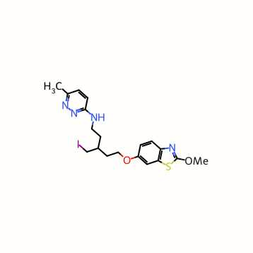 COc1nc2ccc(OCCC(CI)CCNc3ccc(C)nn3)cc2s1